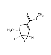 COC(=O)C1=C[C@H]2O[C@H]2[C@H](C)C1